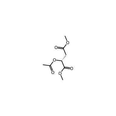 COC(=O)C[C@@H](OC(C)=O)C(=O)OC